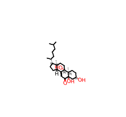 CC(C)CCCC(C)[C@H]1CC[C@H]2C3=CC(=O)[C@@]4(O)C[C@@H](O)CC[C@]4(C)[C@@]3(O)CC[C@]12C